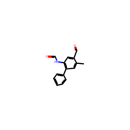 Cc1cc(-c2ccccc2)c(NC=O)cc1[C]=O